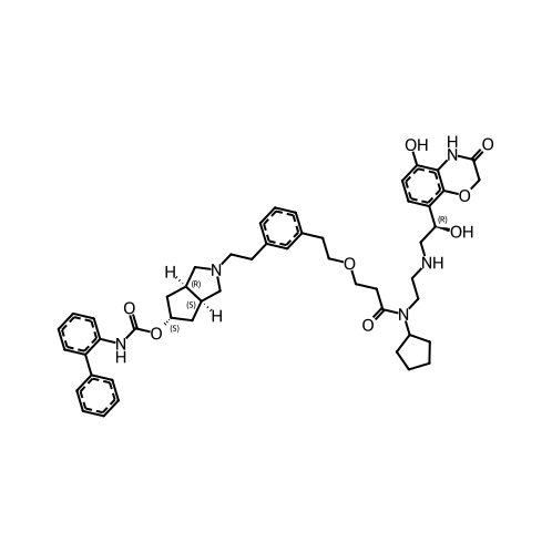 O=C1COc2c([C@@H](O)CNCCN(C(=O)CCOCCc3cccc(CCN4C[C@H]5C[C@H](OC(=O)Nc6ccccc6-c6ccccc6)C[C@H]5C4)c3)C3CCCC3)ccc(O)c2N1